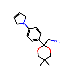 CC1(C)COC(CN)(c2ccc(N3CC=CC3)cc2)OC1